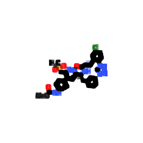 COC(=O)Nc1ccc(-c2cc([C@H](Cc3ccccc3)NC(=O)/C=C/c3cc(Cl)ccc3-n3cnnn3)nnc2CS(C)(=O)=O)cc1